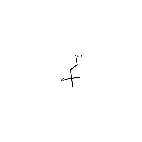 CC(C)(C#N)CCC=O